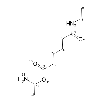 CCNC(=O)CCCCC(=O)OC(C)N